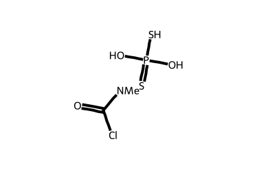 CNC(=O)Cl.OP(O)(=S)S